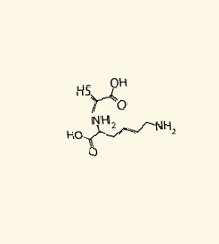 CC(S)C(=O)O.NCCCC[C@H](N)C(=O)O